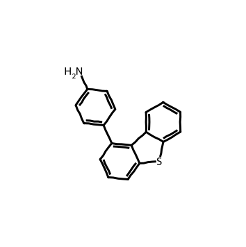 Nc1ccc(-c2cccc3sc4ccccc4c23)cc1